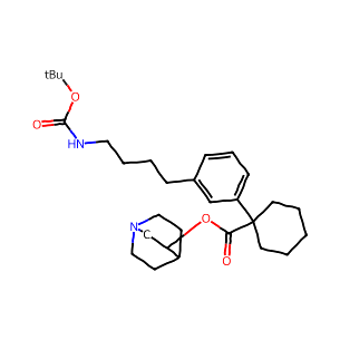 CC(C)(C)OC(=O)NCCCCc1cccc(C2(C(=O)OC3CN4CCC3CC4)CCCCC2)c1